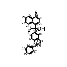 OC(CF)(c1ccc2c(cnn2-c2ccccc2)c1)c1ccc(F)c2ccccc12